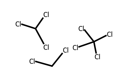 ClC(Cl)(Cl)Cl.ClC(Cl)Cl.ClCCl